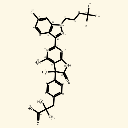 CC(C)(Cc1ccc(C2(C)C(=O)Nc3nc(-c4nn(CCCC(F)(F)F)c5cc(Cl)ccc45)nc(N)c32)cc1)C(=O)O